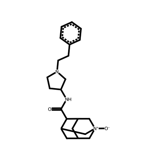 O=C(NC1CCN(CCc2ccccc2)C1)C1C2CC3CC1C[N+]([O-])(C3)C2